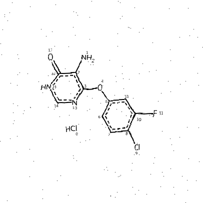 Cl.Nc1c(Oc2ccc(Cl)c(F)c2)nc[nH]c1=O